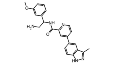 COc1cccc(C(CN)NC(=O)c2cc(-c3ccc4[nH]nc(C)c4c3)ccn2)c1